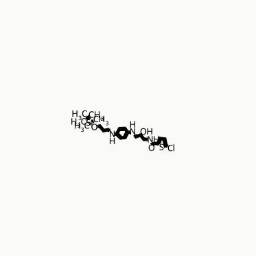 CC(C)(C)[Si](C)(C)OCCCNc1ccc(NC[C@H](O)CNC(=O)c2ccc(Cl)s2)cc1